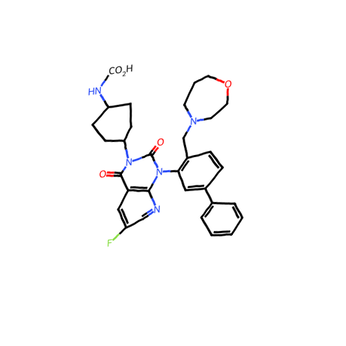 O=C(O)NC1CCC(n2c(=O)c3cc(F)cnc3n(-c3cc(-c4ccccc4)ccc3CN3CCCOCC3)c2=O)CC1